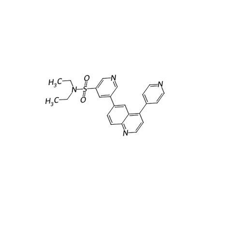 CCN(CC)S(=O)(=O)c1cncc(-c2ccc3nccc(-c4ccncc4)c3c2)c1